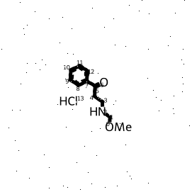 COCNCCC(=O)c1ccccc1.Cl